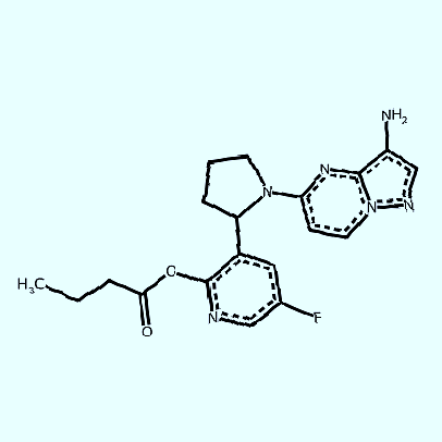 CCCC(=O)Oc1ncc(F)cc1C1CCCN1c1ccn2ncc(N)c2n1